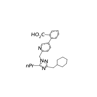 CCCc1nc(CC2CCCCC2)nn1Cc1ccc(-c2ccccc2C(=O)O)cn1